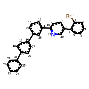 Brc1ccccc1-c1ccc(-c2cccc(-c3ccc(-c4ccccc4)cc3)c2)nc1